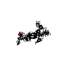 Cc1cc(CC(=O)OC(C)(C)C)c(C(C)(C)CC(=O)N(c2nn(C)c3c(-n4c([C@H](Cc5cc(F)cc(F)c5)NC(=O)Cn5nc(C(F)F)c6c5C(F)(F)[C@@H]5C[C@H]65)nc5cc(-c6cccc(C(F)(F)F)n6)ccc5c4=O)ccc(Cl)c23)S(C)(=O)=O)c(OP(=O)(OC(C)C)OC(C)C)c1